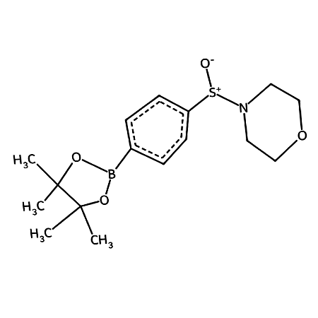 CC1(C)OB(c2ccc([S+]([O-])N3CCOCC3)cc2)OC1(C)C